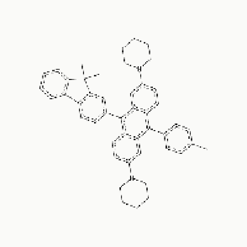 Cc1ccc(-c2c3ccc(N4CCCCC4)cc3c(-c3ccc4c(c3)C(C)(C)c3ccccc3-4)c3ccc(N4CCCCC4)cc23)cc1